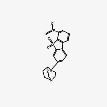 O=[N+]([O-])c1cccc2c1S(=O)(=O)c1cc(N3CCN4CCC3CC4)ccc1-2